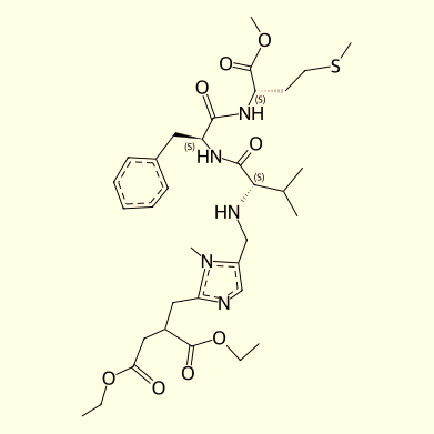 CCOC(=O)CC(Cc1ncc(CN[C@H](C(=O)N[C@@H](Cc2ccccc2)C(=O)N[C@@H](CCSC)C(=O)OC)C(C)C)n1C)C(=O)OCC